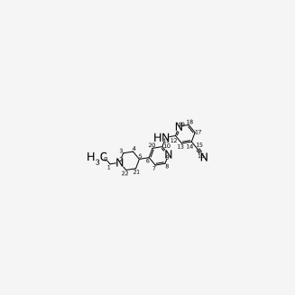 CCN1CCC(c2ccnc(Nc3cc(C#N)ccn3)c2)CC1